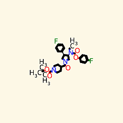 CCN(C(=O)Oc1ccc(F)cc1)[C@@H]1CN(C(=O)C2CCN(C(=O)OC(C)(C)C)CC2)C[C@H]1c1ccc(F)cc1